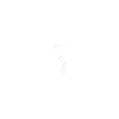 CC1CCS/C(=N\N=C\c2ccc(-c3ncn(-c4ccc(OC(F)(F)F)cc4)n3)cc2)N1c1ccccc1C(C)(C)C